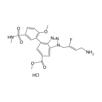 CNS(=O)(=O)c1ccc(OC)c(-c2cc(C(=O)OC)cc3c2nnn3C/C(F)=C/CN)c1.Cl